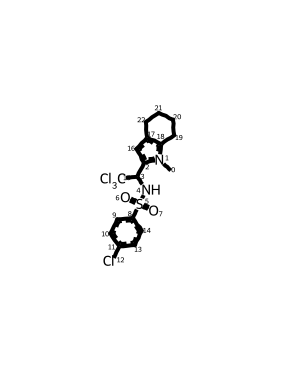 Cn1c(C(NS(=O)(=O)c2ccc(Cl)cc2)C(Cl)(Cl)Cl)cc2c1CCCC2